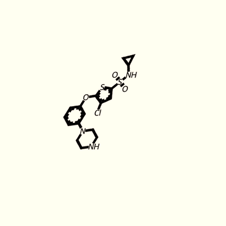 O=S(=O)(NC1CC1)c1cc(Cl)c(Oc2cccc(N3CCNCC3)c2)s1